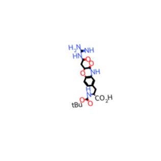 CC(C)(C)OC(=O)N[C@@H](Cc1ccc2c(c1)NC(=O)C(CC(=O)NC(=N)N)O2)C(=O)O